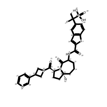 CC(F)(c1ccc2sc(C(=O)NC3CCC[C@H]4CC[C@@H](C(=O)N5CC(c6cccnc6)C5)N4C3=O)cc2c1)P(=O)(O)O